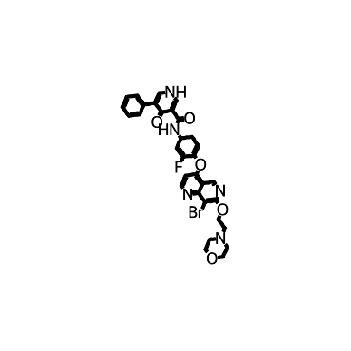 O=C(NC1C=C(F)C(Oc2ccnc3c(Br)c(OCCN4CCOCC4)ncc23)=CC1)c1c[nH]cc(-c2ccccc2)c1=O